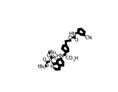 CC(C)(C)OC(=O)N(C(=O)OC(C)(C)C)c1nccc2ccc(NC(C(=O)O)c3ccc(CCOC(=O)Nc4cccc(C#N)c4)cc3)c(F)c12